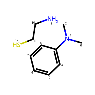 CN(C)c1ccccc1.NCCS